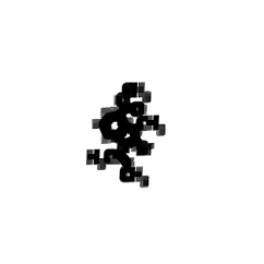 CCC(C)n1c(Br)c(C)c2c(C(=O)OC)cccc21